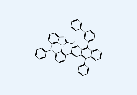 CCc1nc2cccc3c2n1-c1c(-c2ccc4c(-c5cccc(-c6ccccc6)c5)c5ccccc5c(-c5ccccc5)c4c2)cccc1N3c1ccccc1